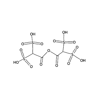 O=C(OC(=O)C(S(=O)(=O)O)S(=O)(=O)O)C(S(=O)(=O)O)S(=O)(=O)O